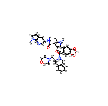 Cc1c(C(=O)N(C)c2cnc3c(ccn3C)c2)cc(-c2cc3c(cc2C(=O)N2Cc4ccccc4C[C@H]2CN2CCOCC2)OCO3)n1C